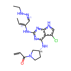 C=CC(=O)N1CC[C@@H](Nc2nc(NC(/C=N\NCC)=C/C)nc3[nH]cc(Cl)c23)C1